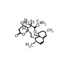 CCC(C)(C)C(=O)O[C@@H]1C[C@H](C)C=C2C=C[C@@H](C)[C@@H](CC[C@@H]3C[C@H](O)CC(=O)O3)[C@@H]21.[CaH2]